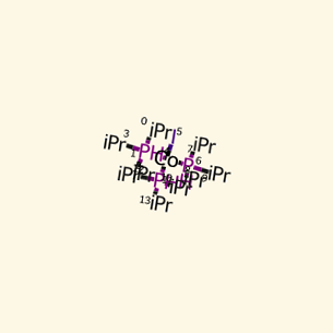 CC(C)[PH](C(C)C)(C(C)C)[Co]([I])([PH](C(C)C)(C(C)C)C(C)C)[PH](C(C)C)(C(C)C)C(C)C